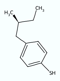 CC[C@H](C)Cc1ccc(S)cc1